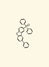 O=P(c1ccccc1)(c1ccccc1)c1ccc2sc3ccc(-c4ccccc4)cc3c2c1